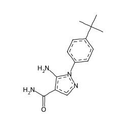 CC(C)(C)c1ccc(-n2ncc(C(N)=O)c2N)cc1